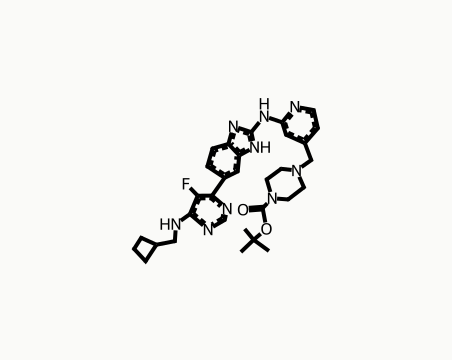 CC(C)(C)OC(=O)N1CCN(Cc2ccnc(Nc3nc4ccc(-c5ncnc(NCC6CCC6)c5F)cc4[nH]3)c2)CC1